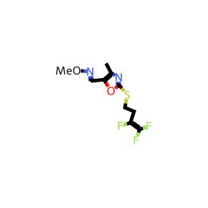 CON=Cc1oc(SCCC(F)=C(F)F)nc1C